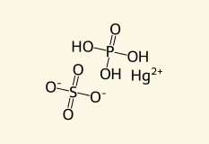 O=P(O)(O)O.O=S(=O)([O-])[O-].[Hg+2]